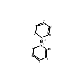 C1=CCS(=S2C=CC=CC2)C=C1